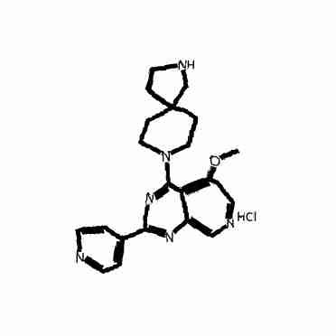 COc1cncc2nc(-c3ccncc3)nc(N3CCC4(CCNC4)CC3)c12.Cl